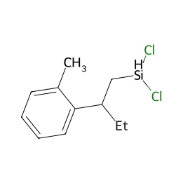 CCC(C[SiH](Cl)Cl)c1ccccc1C